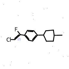 CC1CCC(c2ccc(/C(F)=C/Cl)cc2)CC1